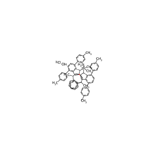 Cc1ccc(-c2ccc(-c3ccc(C)cc3)c3c2C=C(CC(C)c2ccccc2)[CH]3[Zr]([CH3])([CH3])(=[SiH2])[CH]2C(CC(C)c3ccccc3)=Cc3c(-c4ccc(C)cc4)ccc(-c4ccc(C)cc4)c32)cc1.Cl.Cl